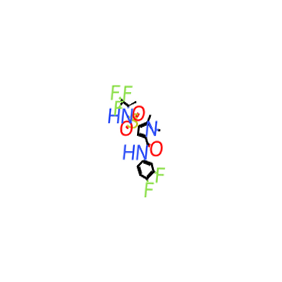 Cc1c(S(=O)(=O)N[C@H](C)C(F)(F)F)cc(C(=O)Nc2ccc(F)c(F)c2)n1C